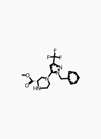 COC(=O)[C@@H]1CN(c2cc(C(F)(F)F)nn2Cc2ccccc2)CCN1